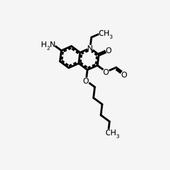 CCCCCCOc1c(OC=O)c(=O)n(CC)c2cc(N)ccc12